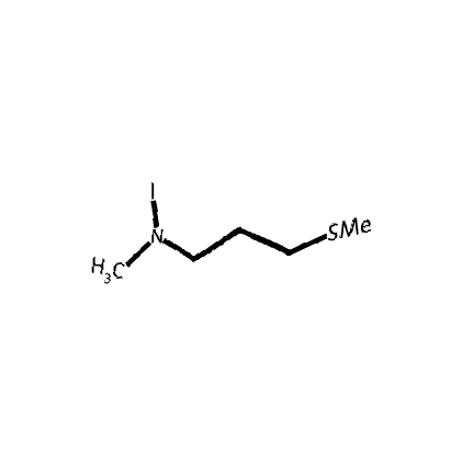 CSCCCN(C)I